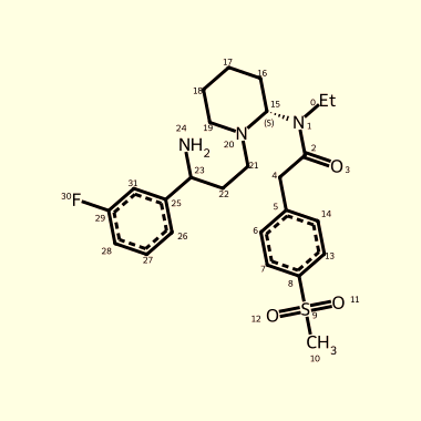 CCN(C(=O)Cc1ccc(S(C)(=O)=O)cc1)[C@H]1CCCCN1CCC(N)c1cccc(F)c1